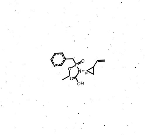 C=CC1C[C@@H]1N(C(=O)O)P(=O)(Cc1cccnc1)OCC